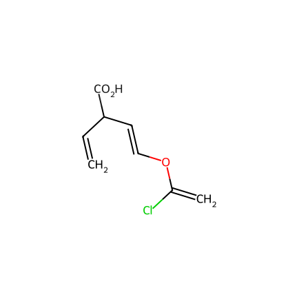 C=CC(C=COC(=C)Cl)C(=O)O